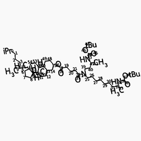 CC(C)CCCC(C)[C@H]1CC[C@H]2[C@@H]3CC=C4C[C@@H](OC(=O)CCCC(=O)N(CCCCCCCC(C)NC(=O)OC(C)(C)C)CCC(C)NC(=O)OC(C)(C)C)CC[C@]4(C)[C@H]3CC[C@]12C